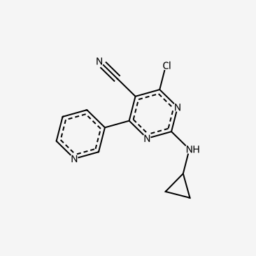 N#Cc1c(Cl)nc(NC2CC2)nc1-c1cccnc1